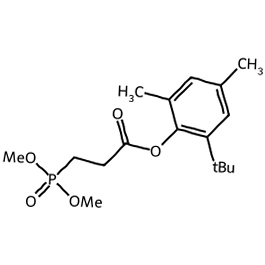 COP(=O)(CCC(=O)Oc1c(C)cc(C)cc1C(C)(C)C)OC